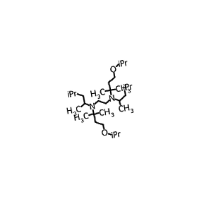 CC(C)CC(C)N(CCN(C(C)CC(C)C)C(C)(C)CCOC(C)C)C(C)(C)CCOC(C)C